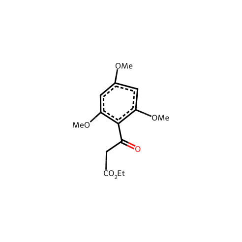 CCOC(=O)CC(=O)c1c(OC)cc(OC)cc1OC